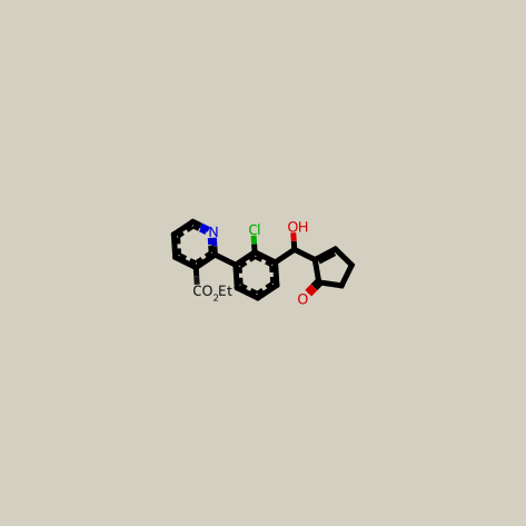 CCOC(=O)c1cccnc1-c1cccc(C(O)C2=CCCC2=O)c1Cl